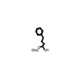 CCCC(CCCc1ccccc1)OC=O